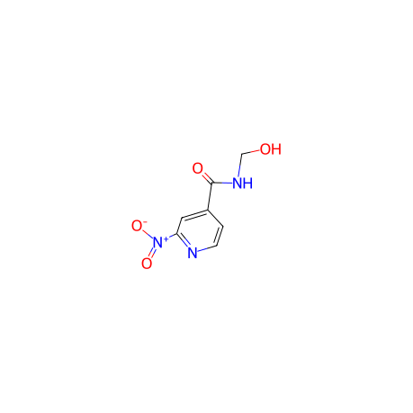 O=C(NCO)c1ccnc([N+](=O)[O-])c1